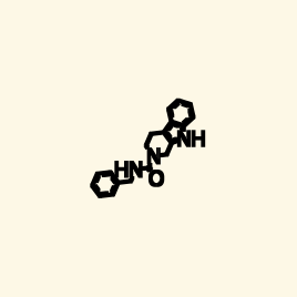 O=C(NCc1ccccc1)N1CCc2c([nH]c3ccccc23)C1